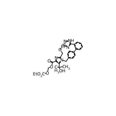 CCOCc1nc(C(=O)OCOC(=O)OCC)c(C(C)(C)O)n1Cc1ccc(-c2ccccc2-c2nnn[nH]2)cc1